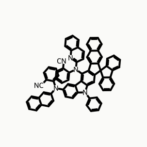 N#Cc1ccccc1N(c1ccc2ccccc2c1)c1ccc2c(c1)c1c(N(c3ccc4ccccc4n3)c3ccccc3C#N)c3c(cc1n2-c1ccccc1)C1(c2ccccc2-c2ccccc21)c1cc2ccccc2cc1-3